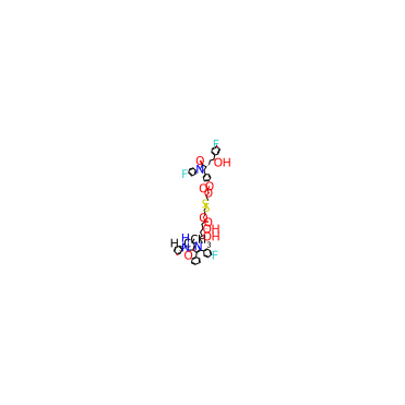 CC(C)c1c(C(=O)Nc2ccccc2)c(-c2ccccc2)c(-c2ccc(F)cc2)n1CC[C@@H](O)C[C@@H](O)CC(=O)OCCSSCCOC(=O)Oc1ccc(C2[C@@H](CC[C@H](O)c3ccc(F)cc3)C(=O)N2c2ccc(F)cc2)cc1